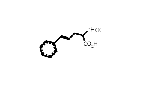 CCCCCCC(CC=Cc1ccccc1)C(=O)O